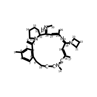 C=C1c2cc(C)ccc2CCCCN(C)C/C(C)=C/C(N2CCC2)=N\C(C)=C\C(=N/C)[C@@H]2CCCCN12